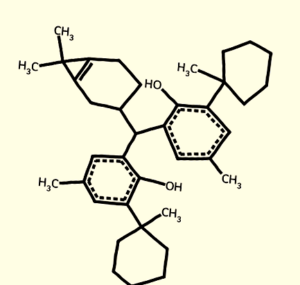 Cc1cc(C(c2cc(C)cc(C3(C)CCCCC3)c2O)C2CCC3=C(C2)C3(C)C)c(O)c(C2(C)CCCCC2)c1